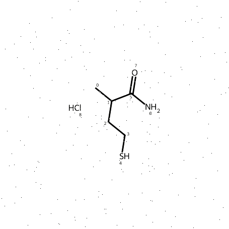 CC(CCS)C(N)=O.Cl